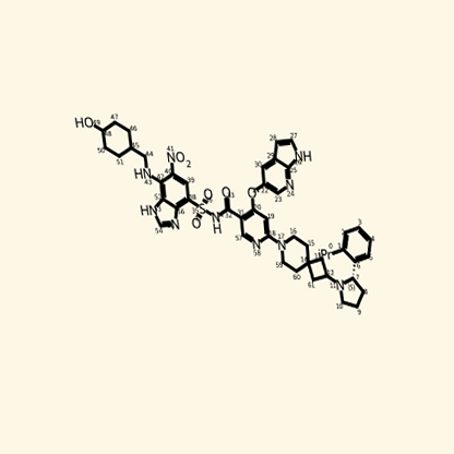 CC(C)c1ccccc1[C@@H]1CCCN1C1CC2(CCN(c3cc(Oc4cnc5[nH]ccc5c4)c(C(=O)NS(=O)(=O)c4cc([N+](=O)[O-])c(NCC5CCC(O)CC5)c5[nH]cnc45)cn3)CC2)C1